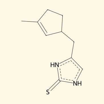 CC1=CC(Cc2c[nH]c(=S)[nH]2)CC1